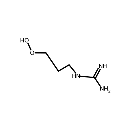 N=C(N)NCCCOO